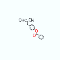 N#C/C([C]=O)=C\c1ccc(OC(=O)c2ccccc2)cc1